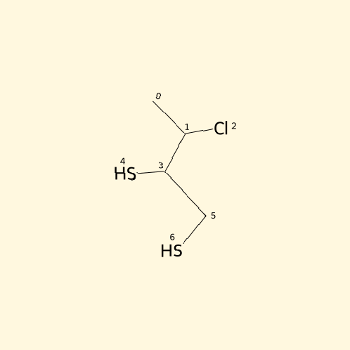 CC(Cl)C(S)CS